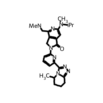 CNCc1nc(N(C)C(C)C)cc2c1CN(c1cccc(-c3nnc4n3C(C)CCC4)n1)C2=O